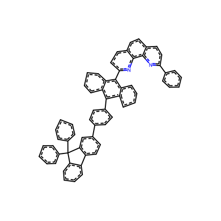 c1ccc(-c2ccc3ccc4ccc(-c5c6ccccc6c(-c6ccc(-c7ccc8c(c7)C(c7ccccc7)(c7ccccc7)c7ccccc7-8)cc6)c6ccccc56)nc4c3n2)cc1